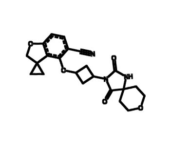 N#Cc1ccc2c(c1OC1CC(N3C(=O)NC4(CCOCC4)C3=O)C1)C1(CC1)CO2